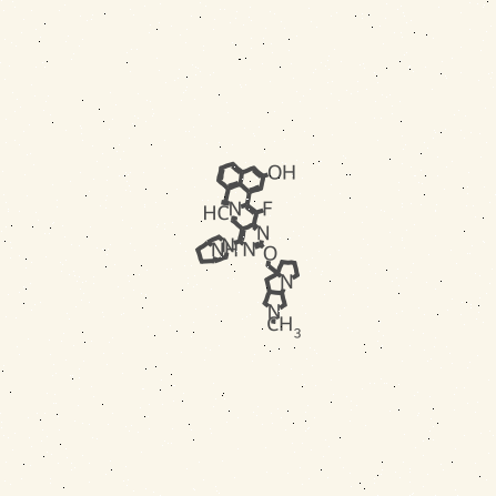 C#Cc1cccc2cc(O)cc(-c3ncc4c(N5CC6CCC(C5)N6)nc(OCC56CCCN5C5CN(C)CC5C6)nc4c3F)c12